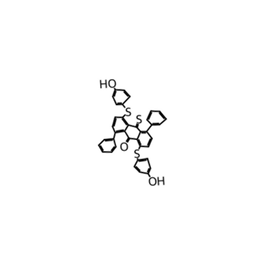 O=C1c2c(Sc3ccc(O)cc3)ccc(-c3ccccc3)c2C(=S)c2c(Sc3ccc(O)cc3)ccc(-c3ccccc3)c21